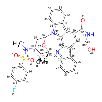 CO[C@@H]1[C@H](N(C)S(=O)(=O)c2ccc(F)cc2)CC2O[C@]1(C)n1c3ccccc3c3c4c(c5c6ccccc6n2c5c31)C(=O)N[C@@H]4O